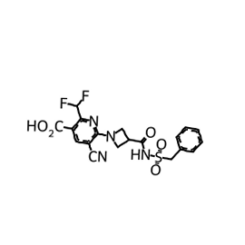 N#Cc1cc(C(=O)O)c(C(F)F)nc1N1CC(C(=O)NS(=O)(=O)Cc2ccccc2)C1